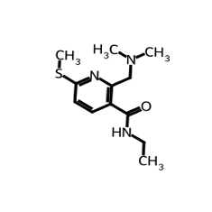 CCNC(=O)c1ccc(SC)nc1CN(C)C